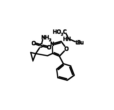 CC(C)(C)NC(=O)O.NS(=O)(=O)C1(Cc2ncoc2-c2ccccc2)CC1